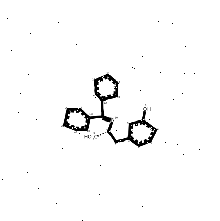 O=C(O)[C@@H](Cc1cccc(O)c1)N=C(c1ccccc1)c1ccccc1